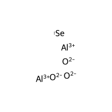 [Al+3].[Al+3].[O-2].[O-2].[O-2].[Se]